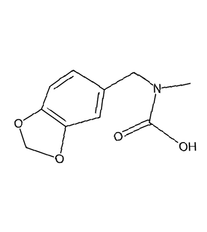 CN(Cc1ccc2c(c1)OCO2)C(=O)O